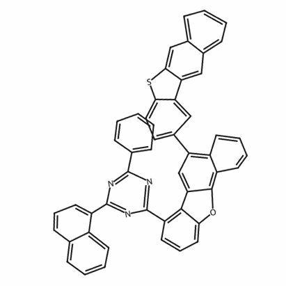 c1ccc(-c2nc(-c3cccc4ccccc34)nc(-c3cccc4oc5c6ccccc6c(-c6ccc7sc8cc9ccccc9cc8c7c6)cc5c34)n2)cc1